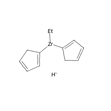 C[CH2][Zr]([C]1=CC=CC1)[C]1=CC=CC1.[H-]